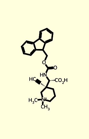 C#C[C@]1([C@H](NC(=O)OCC2c3ccccc3-c3ccccc32)C(=O)O)CCC[N+](C)(C)C1